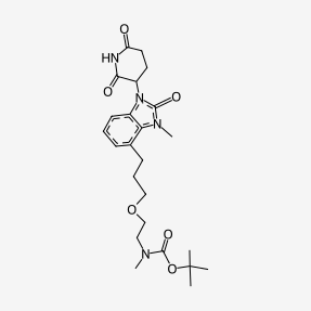 CN(CCOCCCc1cccc2c1n(C)c(=O)n2C1CCC(=O)NC1=O)C(=O)OC(C)(C)C